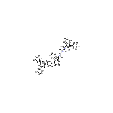 CCC(=C\C=C(/C)n1c2ccccc2c2c(-c3ccc(-c4nc(-c5ccccc5)cc(-c5ccccc5)n4)cc3)cccc21)/C(C)=C/c1c(C)n(-c2ccccc2)c2ccccc12